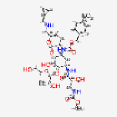 CC[C@@H](O)[C@H](OCCO)O[C@@H]1[C@@H](O)[C@H](O[C@@H]2CCC=C(CNCC3CC3)O2)[C@@H](NC(=O)OCc2ccc([N+](=O)[O-])cc2)C[C@H]1NC(=O)[C@H](O)CNC(=O)OC(C)(C)C